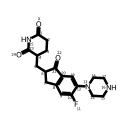 O=C1CCC(CC2Cc3cc(F)c(N4CCNCC4)cc3C2=O)C(=O)N1